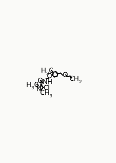 C=CCOCCc1ccc(OCCNC(=O)c2c(Cl)c(C)nn2C)c(C)c1